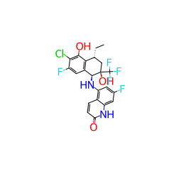 CC[C@@H]1C[C@](O)(C(F)(F)F)[C@@H](Nc2cc(F)cc3[nH]c(=O)ccc23)c2cc(F)c(Cl)c(O)c21